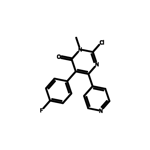 Cn1c(Cl)nc(-c2ccncc2)c(-c2ccc(F)cc2)c1=O